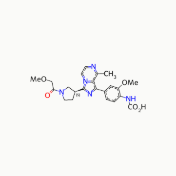 COCC(=O)N1CC[C@H](c2nc(-c3ccc(NC(=O)O)c(OC)c3)c3c(C)nccn23)C1